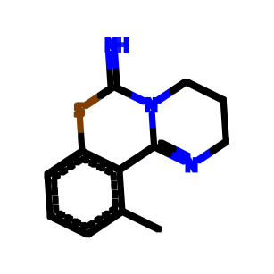 Cc1cccc2c1C1=NCCCN1C(=N)S2